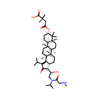 CNCC(=O)N(C[C@H](O)[C@@H]1C(=O)C(C(C)C)=C2C1CC[C@]1(C)[C@@H]2CC[C@@H]2[C@@]3(C)CC[C@H](OC(=O)CC(C)(C)C(=O)O)C(C)(C)[C@@H]3CC[C@]21C)C(C)C